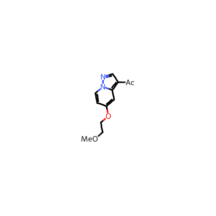 COCCOc1ccn2ncc(C(C)=O)c2c1